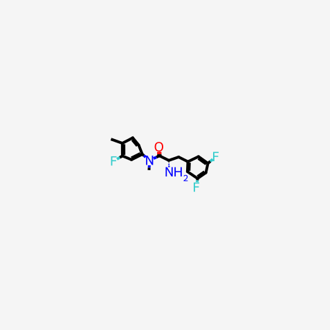 Cc1ccc(N(C)C(=O)[C@@H](N)Cc2cc(F)cc(F)c2)cc1F